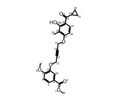 COC(=O)c1ccc(OC)c(OCC#CCOc2ccc(C(=O)C3CC3)c(O)c2C)c1